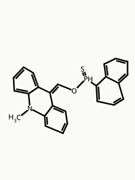 CN1c2ccccc2C(=CO[PH](=S)c2cccc3ccccc23)c2ccccc21